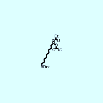 CCCCCCCCCCCCCCCCCCCN(OC(=O)CC)OC(=O)CC